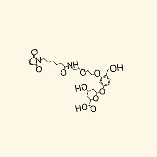 O=C(CCCCCN1C(=O)C=CC1=O)NCCOCCOc1cc(OC2CC(O)CC(C(=O)O)O2)ccc1CO